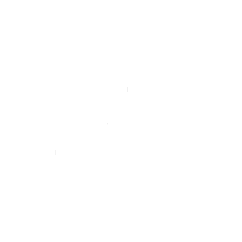 OCSOCC(O)CO